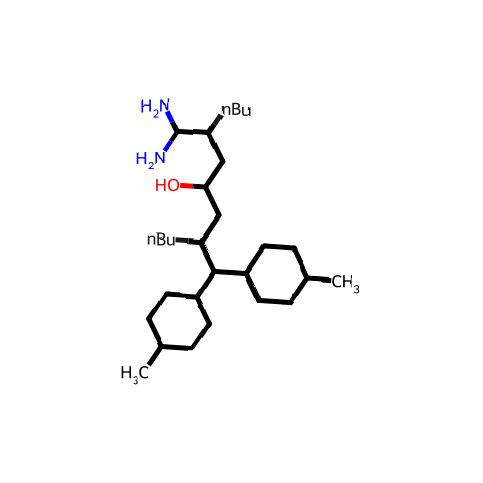 CCCCC(CC(O)CC(CCCC)C(C1CCC(C)CC1)C1CCC(C)CC1)C(N)N